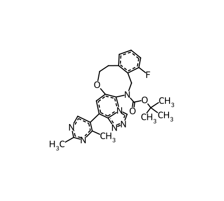 Cc1ncc(-c2cc3c(n4cnnc24)N(C(=O)OC(C)(C)C)Cc2c(F)cccc2CCO3)c(C)n1